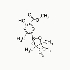 COC(=O)c1cc(B2OC(C)(C)C(C)(C)O2)c(C)cc1O